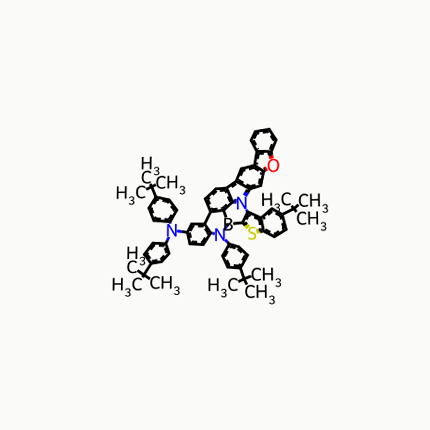 CC(C)(C)c1ccc(N2B3c4sc5ccc(C(C)(C)C)cc5c4-n4c5cc6oc7ccccc7c6cc5c5ccc(c3c54)-c3cc(N(c4ccc(C(C)(C)C)cc4)c4ccc(C(C)(C)C)cc4)ccc32)cc1